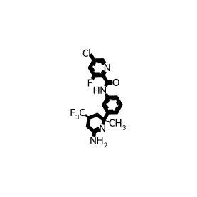 C[C@@]1(c2cccc(NC(=O)c3ncc(Cl)cc3F)c2)C[C@H](C(F)(F)F)CC(N)=N1